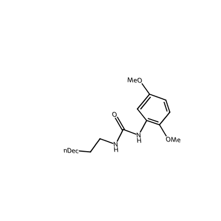 CCCCCCCCCCCCNC(=O)Nc1cc(OC)ccc1OC